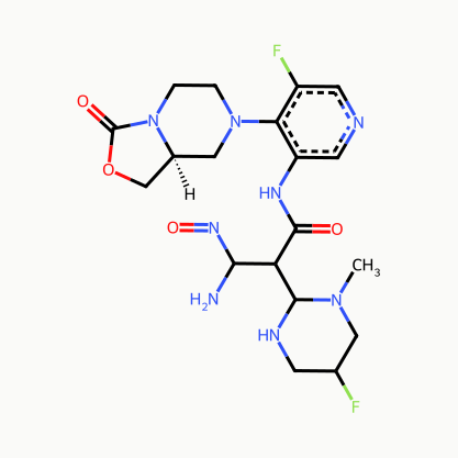 CN1CC(F)CNC1C(C(=O)Nc1cncc(F)c1N1CCN2C(=O)OC[C@@H]2C1)C(N)N=O